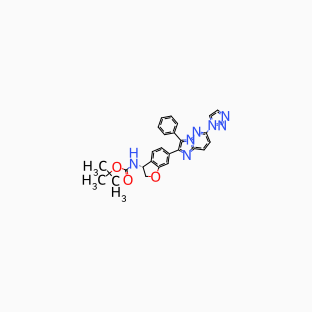 CC(C)(C)OC(=O)N[C@H]1COc2cc(-c3nc4ccc(-n5ccnn5)nn4c3-c3ccccc3)ccc21